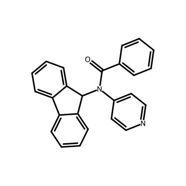 O=C(c1ccccc1)N(c1ccncc1)C1c2ccccc2-c2ccccc21